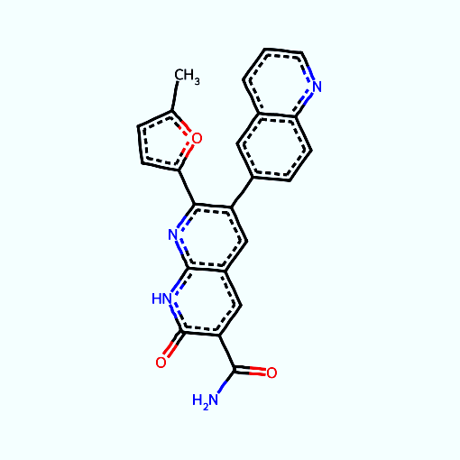 Cc1ccc(-c2nc3[nH]c(=O)c(C(N)=O)cc3cc2-c2ccc3ncccc3c2)o1